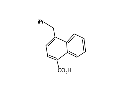 CC(C)Cc1ccc(C(=O)O)c2ccccc12